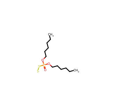 CCCCCCOP(=O)(OCCCCCC)S[S]